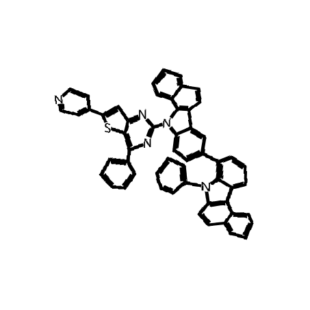 c1ccc(-c2nc(-n3c4ccc(-c5cccc6c7c8ccccc8ccc7n(-c7ccccc7)c56)cc4c4ccc5ccccc5c43)nc3cc(-c4ccncc4)sc23)cc1